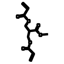 C=CC(=O)OCC(COC(=O)C=C)C(=O)OC